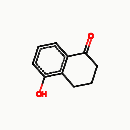 O=C1CCCc2c(O)cccc21